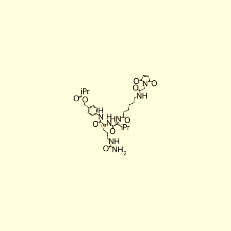 CC(C)C(=O)OCc1ccc(NC(=O)[C@H](CCCNC(N)=O)NC(=O)[C@@H](NC(=O)CCCCCNC(=O)CN2C(=O)C=CC2=O)C(C)C)cc1